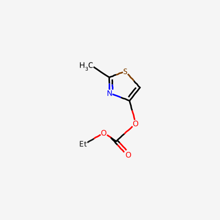 CCOC(=O)Oc1csc(C)n1